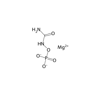 NC(=O)NOP(=O)([O-])[O-].[Mg+2]